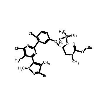 Cc1c(Cl)nc(-c2cc(OC[C@@H](CN(C)C(=O)OC(C)(C)C)O[Si](C)(C)C(C)(C)C)ccc2Cl)nc1-c1c(C)c(Br)nn1C